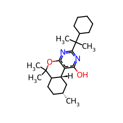 C[C@@H]1CCC2[C@@H](C1)c1c(O)nc(C(C)(C)C3CCCCC3)nc1OC2(C)C